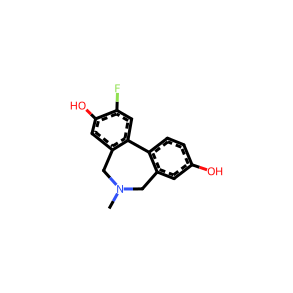 CN1Cc2cc(O)ccc2-c2cc(F)c(O)cc2C1